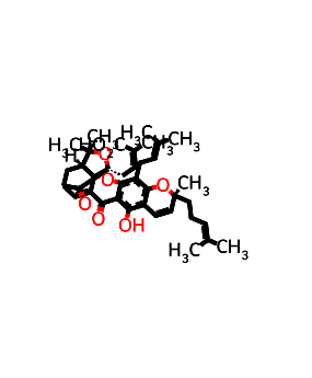 CC(C)=CCC[C@]1(C)C=Cc2c(O)c3c(c(CC=C(C)C)c2O1)O[C@]12C(=CC4C[C@@H]1C(C)(C)O[C@@]2(C/C=C(/C)C(=O)O)C4=O)C3=O